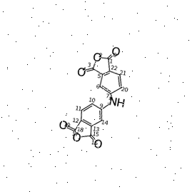 O=C1OC(=O)c2cc(Nc3ccc4c(c3)C(=O)OC4=O)ccc21